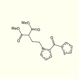 COC(=O)C(CCn1cccc1C(=O)c1cccs1)C(=O)OC